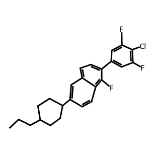 CCCC1CCC(c2ccc3c(F)c(-c4cc(F)c(Cl)c(F)c4)ccc3c2)CC1